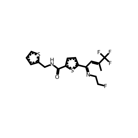 C/C(=C\C(=N/CCF)c1ccc(C(=O)NCc2cccs2)s1)C(F)(F)F